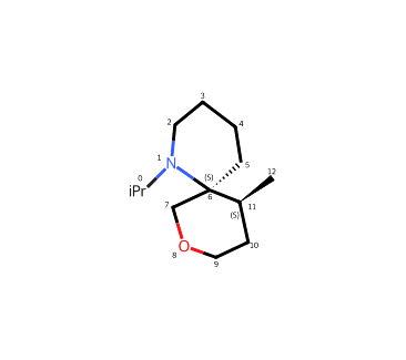 CC(C)N1CCCC[C@]12COCC[C@@H]2C